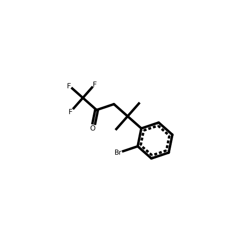 CC(C)(CC(=O)C(F)(F)F)c1ccccc1Br